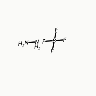 F[B-](F)(F)F.NN